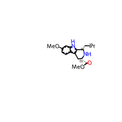 COC(=O)[C@@H]1Cc2c([nH]c3cc(OC)ccc23)[C@H](CC(C)C)N1